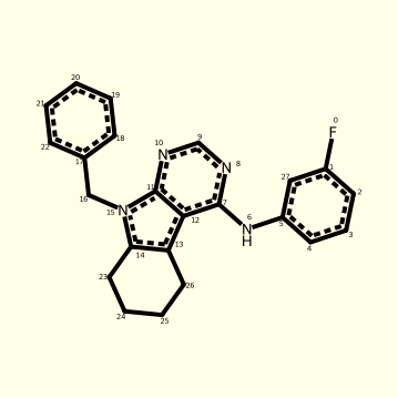 Fc1cccc(Nc2ncnc3c2c2c(n3Cc3ccccc3)CCCC2)c1